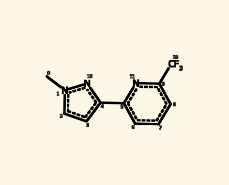 Cn1ccc(-c2cccc(C(F)(F)F)n2)n1